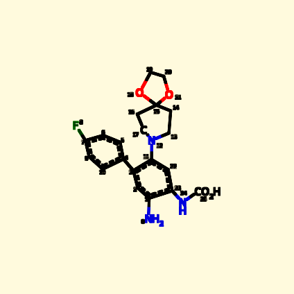 Nc1cc(-c2ccc(F)cc2)c(N2CCC3(CC2)OCCO3)cc1NC(=O)O